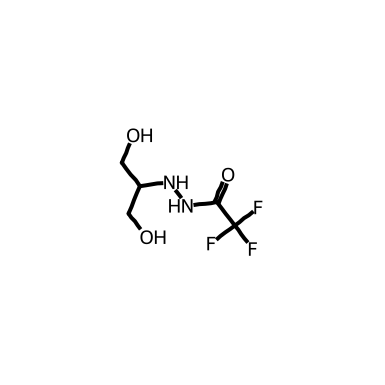 O=C(NNC(CO)CO)C(F)(F)F